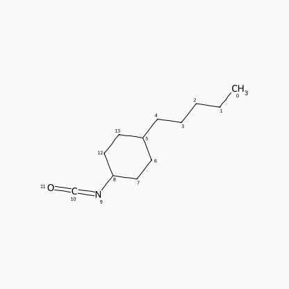 CCCCCC1CCC(N=C=O)CC1